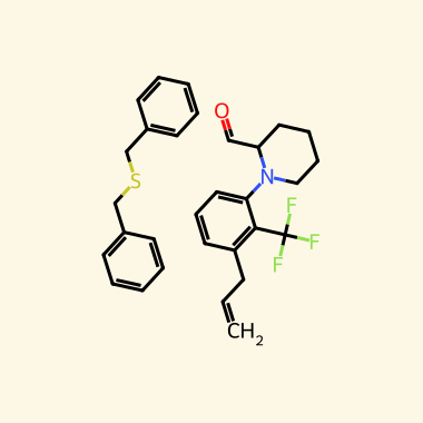 C=CCc1cccc(N2CCCCC2C=O)c1C(F)(F)F.c1ccc(CSCc2ccccc2)cc1